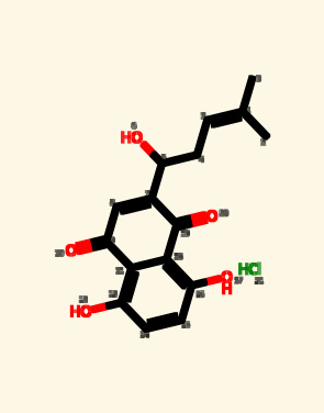 CC(C)=CCC(O)C1=CC(=O)c2c(O)ccc(O)c2C1=O.Cl